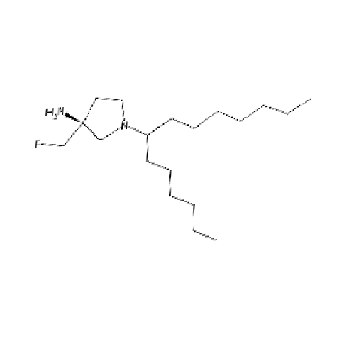 CCCCCCCC(CCCCCC)N1CC[C@@](N)(CF)C1